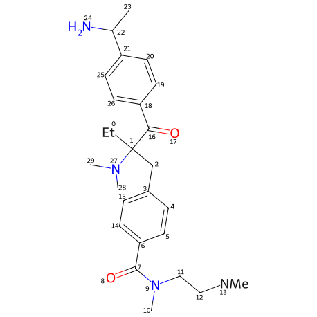 CCC(Cc1ccc(C(=O)N(C)CCNC)cc1)(C(=O)c1ccc(C(C)N)cc1)N(C)C